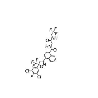 O=C(CNC(=O)c1ccc(C2=NOC(c3cc(Cl)c(F)c(Cl)c3)(C(F)(F)F)C2)c2ccccc12)NCC(F)(F)F